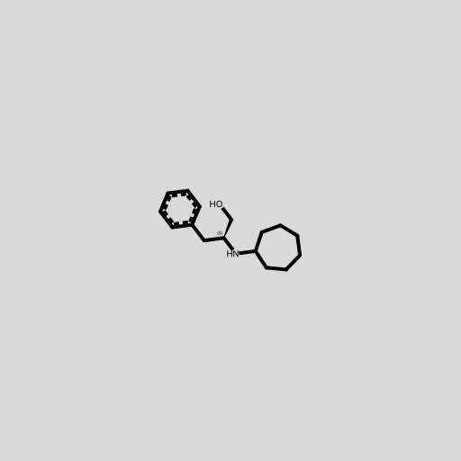 OC[C@H](Cc1ccccc1)NC1CCCCCC1